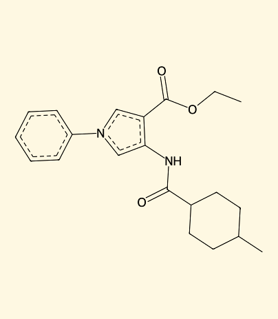 CCOC(=O)c1cn(-c2ccccc2)cc1NC(=O)C1CCC(C)CC1